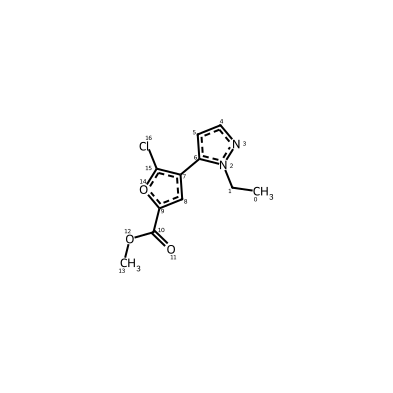 CCn1nccc1-c1cc(C(=O)OC)oc1Cl